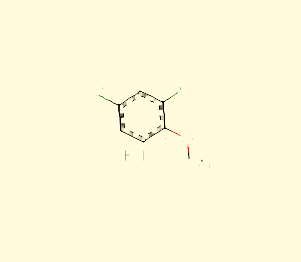 CC(=O)OOc1ccc(Cl)cc1Cl.[KH]